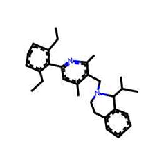 CCc1cccc(CC)c1-c1cc(C)c(CN2CCc3ccccc3C2C(C)C)c(C)n1